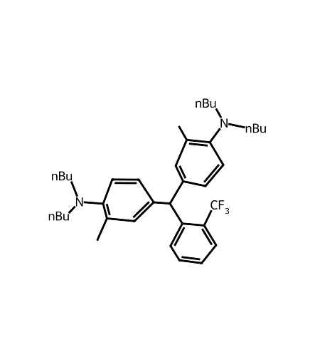 CCCCN(CCCC)c1ccc(C(c2ccc(N(CCCC)CCCC)c(C)c2)c2ccccc2C(F)(F)F)cc1C